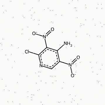 Nc1c([N+](=O)[O-])cnc(Cl)c1[N+](=O)[O-]